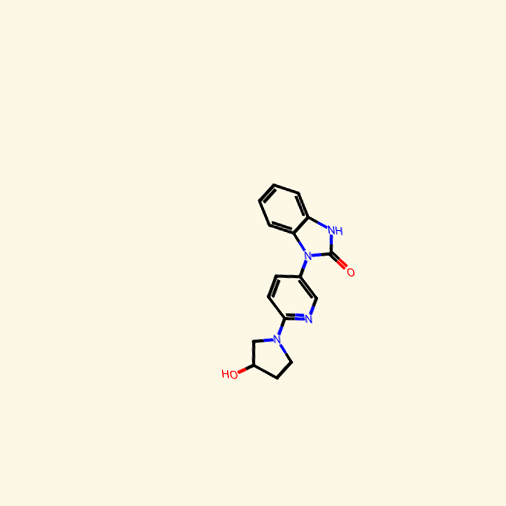 O=c1[nH]c2ccccc2n1-c1ccc(N2CCC(O)C2)nc1